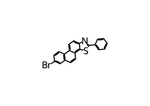 Brc1ccc2c(ccc3c2ccc2nc(-c4ccccc4)sc23)c1